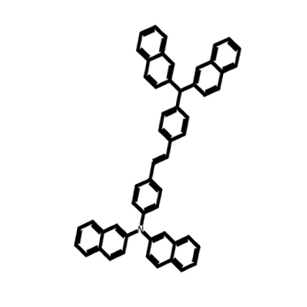 C(=Cc1ccc(N(c2ccc3ccccc3c2)c2ccc3ccccc3c2)cc1)c1ccc(C(c2ccc3ccccc3c2)c2ccc3ccccc3c2)cc1